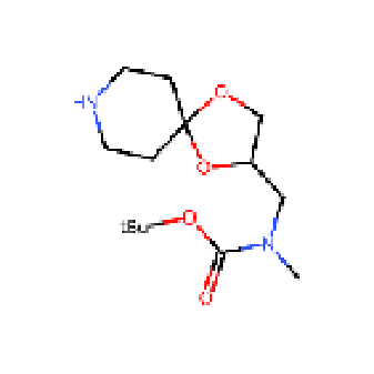 CN(CC1COC2(CCNCC2)O1)C(=O)OC(C)(C)C